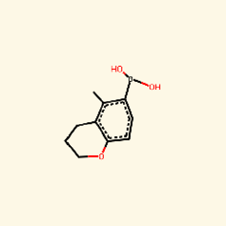 Cc1c(B(O)O)ccc2c1CCCO2